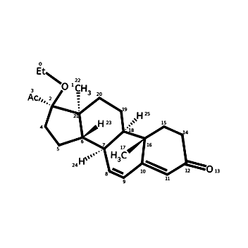 CCO[C@]1(C(C)=O)CC[C@H]2[C@@H]3C=CC4=CC(=O)CC[C@@]4(C)[C@@H]3CC[C@@]21C